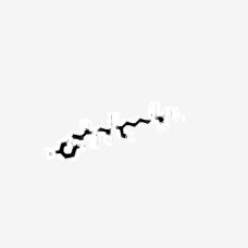 CC(=O)NCCCCC(C=O)NC(=O)CNC(=O)c1cn2cc(Br)ccc2n1